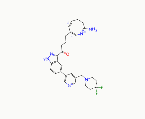 N/C1=N/C=C(CCCC(=O)c2n[nH]c3ccc(-c4cncc(CN5CCC(F)(F)CC5)c4)cc23)\C=C/CC1